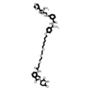 C[C@@H](NC(=O)c1cccc(NCc2nnc(-c3ccncn3)n2C)c1)c1ccc(OCCCCCCOCCOCCOCCC(=O)Nc2cccc3c2CN(C2CCC(=O)NC2=O)C3=O)cc1